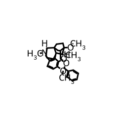 COc1ccc2c3c1O[C@H]1C4(OC)CCC5(C[C@]4(C)COCc4ccccc4)[C@@H](C2)N(C)CC[C@]315